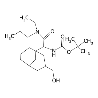 CCCN(CC)C(=O)C(NC(=O)OC(C)(C)C)C12CCCC(CC(CO)C1)C2